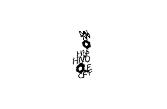 O=C(NSc1ccc(-n2cnnn2)cc1)Nc1ccc(Cl)c(C(F)(F)F)c1